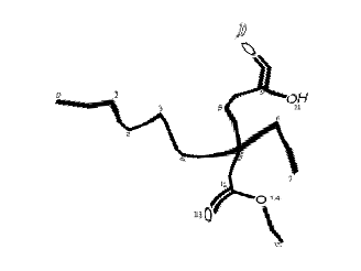 CCCCCC(CC)(CC(=O)O)C(=O)OC